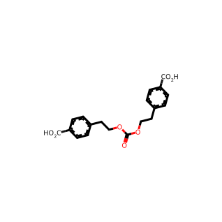 O=C(OCCc1ccc(C(=O)O)cc1)OCCc1ccc(C(=O)O)cc1